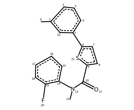 Cc1cccc(-c2ccc(C(=O)N(C)c3ccccc3F)s2)c1